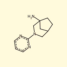 NC12CCC(CN(c3ncccn3)C1)C2